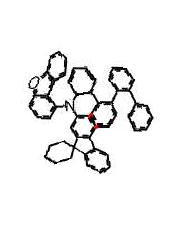 C1=CC(c2ccccc2-c2ccccc2-c2ccccc2)C(N(c2ccc3c(c2)C2(CCCCC2)c2ccccc2-3)c2cccc3oc4ccccc4c23)C=C1